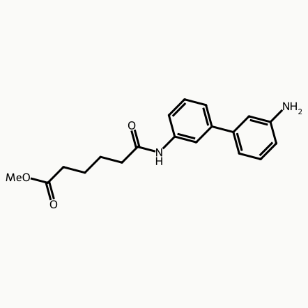 COC(=O)CCCCC(=O)Nc1cccc(-c2cccc(N)c2)c1